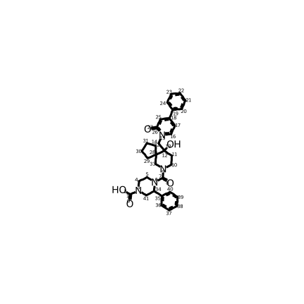 O=C(O)N1CCN(C(=O)N2CCC(O)(Cn3ccc(-c4ccccc4)cc3=O)C3(CCCC3)C2)C(c2ccccc2)C1